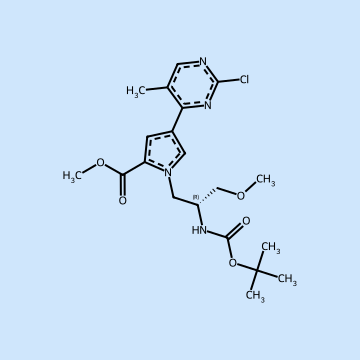 COC[C@@H](Cn1cc(-c2nc(Cl)ncc2C)cc1C(=O)OC)NC(=O)OC(C)(C)C